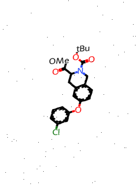 COC(=O)C1Cc2cc(Oc3cccc(Cl)c3)ccc2CN1C(=O)OC(C)(C)C